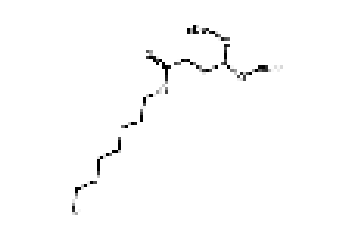 CCCCCCCCCCOC(CCC(=O)OCCCCCCCBr)OCCCCCCCCCC